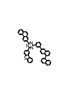 c1cc(-c2ccc3c(-c4cccc5ccccc45)cccc3c2)cc(-c2nc(-c3ccc4c(ccc5ccccc54)c3)nc(-c3ccc4sc5ccccc5c4c3)n2)c1